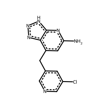 Nc1cc(Cc2cncc(Cl)c2)c2nn[nH]c2n1